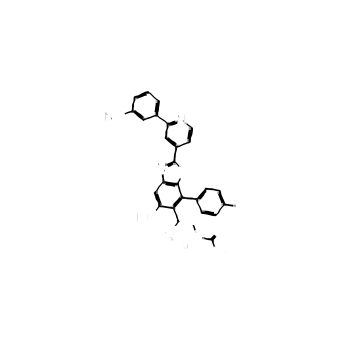 Cc1cc2nc(-c3ccnc(-c4cccc(C#N)c4)c3)sc2c(-c2ccc(Cl)cc2)c1[C@H](COC(=O)C(C)(C)C)OC(C)(C)C